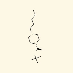 [CH2]CCCCN1CCN(C(=O)OC(C)(C)C)CC1